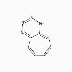 C1=CC=C2NN=NN=C2C=C1